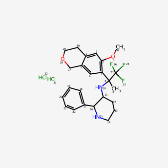 COc1cc2c(cc1C(C)(NC1CCCNC1c1ccccc1)C(F)(F)F)COCC2.Cl.Cl